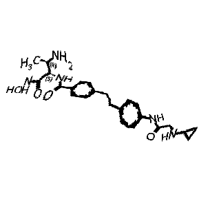 C[C@@H](N)[C@H](NC(=O)c1ccc(CCc2ccc(NC(=O)CNC3CC3)cc2)cc1)C(=O)NO